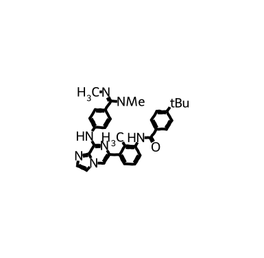 C/N=C(/NC)c1ccc(Nc2nc(-c3cccc(NC(=O)c4ccc(C(C)(C)C)cc4)c3C)cn3ccnc23)cc1